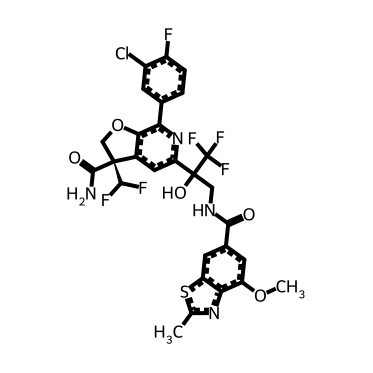 COc1cc(C(=O)NCC(O)(c2cc3c(c(-c4ccc(F)c(Cl)c4)n2)OC[C@]3(C(N)=O)C(F)F)C(F)(F)F)cc2sc(C)nc12